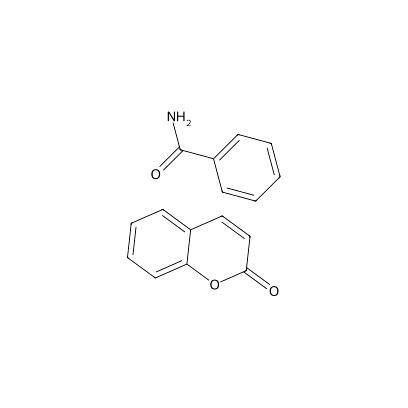 NC(=O)c1ccccc1.O=c1ccc2ccccc2o1